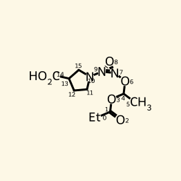 CCC(=O)OC(C)On1on1N1CCC(C(=O)O)C1